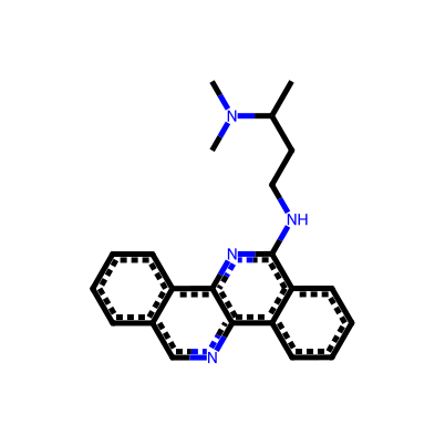 CC(CCNc1nc2c3ccccc3cnc2c2ccccc12)N(C)C